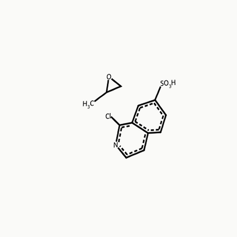 CC1CO1.O=S(=O)(O)c1ccc2ccnc(Cl)c2c1